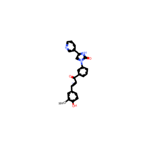 COc1cc(/C=C/C(=O)c2cccc(-n3cc(-c4cccnc4)[nH]c3=O)c2)ccc1O